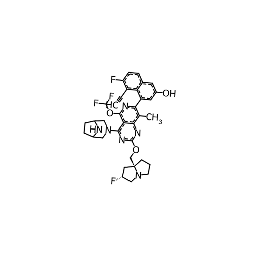 C#Cc1c(F)ccc2cc(O)cc(-c3nc(OC(F)F)c4c(N5CC6CCC(C5)N6)nc(OC[C@@]56CCCN5C[C@H](F)C6)nc4c3C)c12